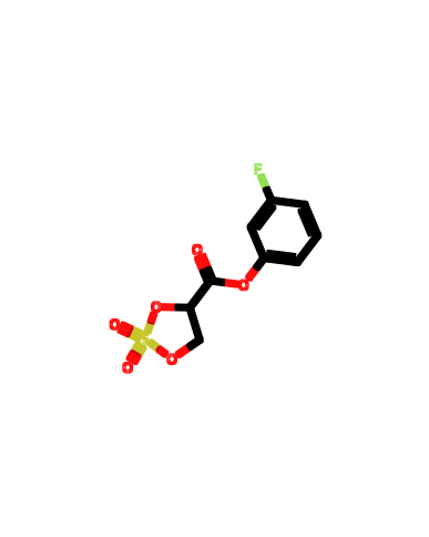 O=C(Oc1cccc(F)c1)C1COS(=O)(=O)O1